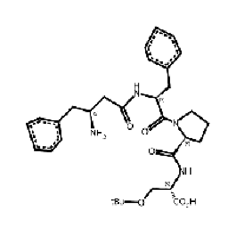 CC(C)(C)OC[C@H](NC(=O)[C@@H]1CCCN1C(=O)[C@H](Cc1ccccc1)NC(=O)C[C@@H](N)Cc1ccccc1)C(=O)O